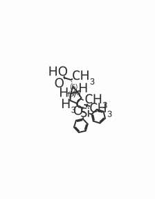 CC(C(=O)O)[C@@H]1[C@@H]2CC(O[Si](c3ccccc3)(c3ccccc3)C(C)(C)C)C[C@@H]21